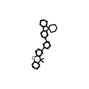 CC1(C)c2ccccc2Oc2ccc(-c3cccc(-c4ccc5c(c4)C4(CCCCC4)c4ccccc4-5)c3)cc21